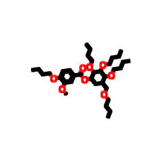 CCCCOCC1CC(OC(=O)c2ccc(OCCCC)c(OC)c2)C(OCCCC)C(OCCCC)C1OCCCC